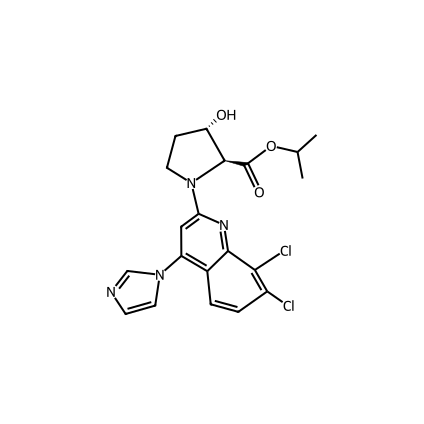 CC(C)OC(=O)[C@@H]1[C@@H](O)CCN1c1cc(-n2ccnc2)c2ccc(Cl)c(Cl)c2n1